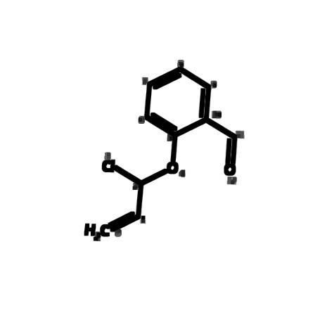 C=CC(Cl)Oc1ccccc1C=O